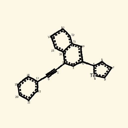 C(#Cc1cc(-c2ccc[te]2)cc2ccccc12)c1ccccc1